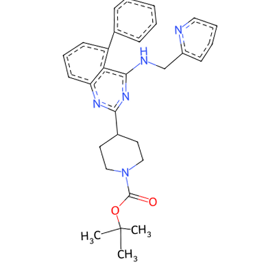 CC(C)(C)OC(=O)N1CCC(c2nc(NCc3ccccn3)c3c(-c4ccccc4)cccc3n2)CC1